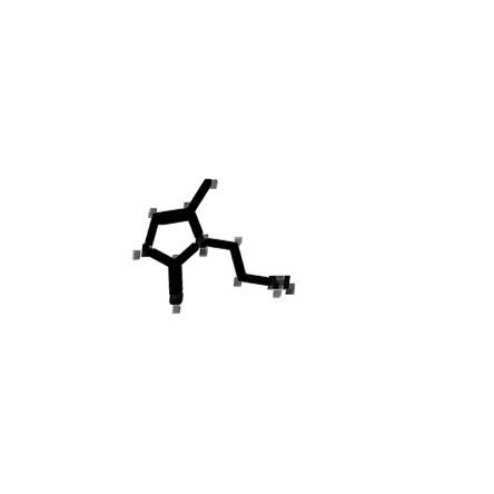 Cc1csc(=O)n1CCN